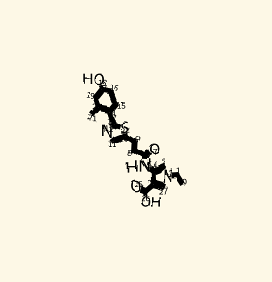 CCn1cc(NC(=O)CCc2cnc(-c3ccc(O)cc3C)s2)c(C(=O)O)c1